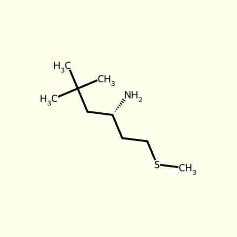 CSCC[C@@H](N)CC(C)(C)C